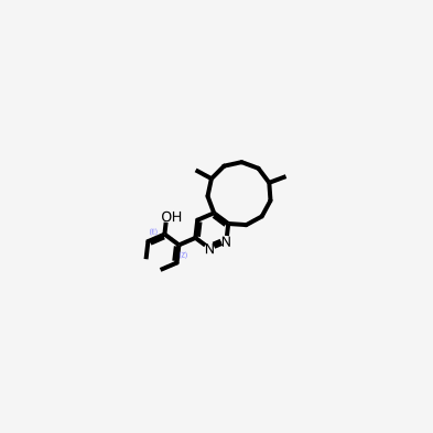 C/C=C(\C(O)=C/C)c1cc2c(nn1)CCCC(C)CCCC(C)C2